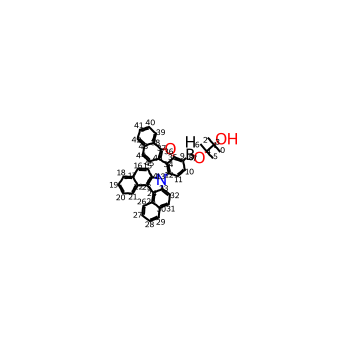 CC(C)(O)C(C)(C)OBc1ccc(-n2c3ccc4ccccc4c3c3c4ccccc4ccc32)c2c1oc1c3ccccc3ccc12